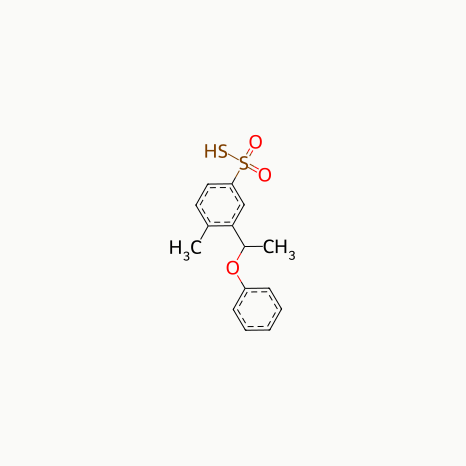 Cc1ccc(S(=O)(=O)S)cc1C(C)Oc1ccccc1